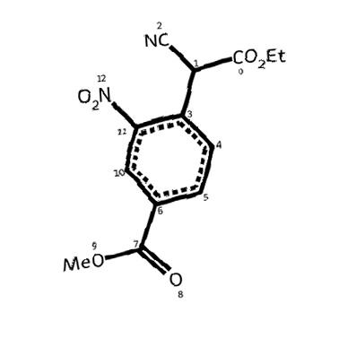 CCOC(=O)C(C#N)c1ccc(C(=O)OC)cc1[N+](=O)[O-]